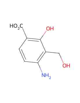 Nc1ccc(C(=O)O)c(O)c1CO